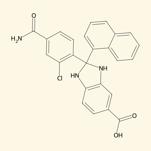 NC(=O)c1ccc(C2(c3cccc4ccccc34)Nc3ccc(C(=O)O)cc3N2)c(Cl)c1